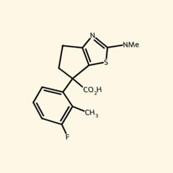 CNc1nc2c(s1)C(C(=O)O)(c1cccc(F)c1C)CC2